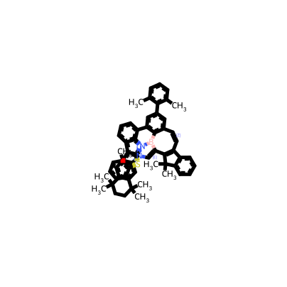 Cc1cc2c(cc1N/C=C1\B3c4c(cc(-c5c(C)cccc5C)cc4-c4cccc5c6c7ccccc7sc6n3c45)/C=C\C3=C1C(C)(C)c1ccccc13)C(C)(C)CCC2(C)C